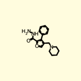 NNC(=O)c1occ(CN2CCCCC2)c1-c1ccccc1